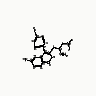 CN(C)CC(N)CC1=C(c2ccc(F)cc2)c2cc(F)ccc2OC1